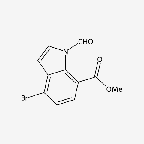 COC(=O)c1ccc(Br)c2ccn(C=O)c12